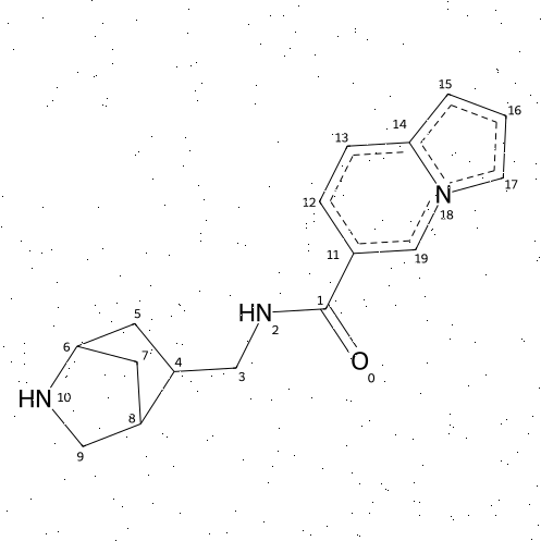 O=C(NCC1CC2CC1CN2)c1ccc2cccn2c1